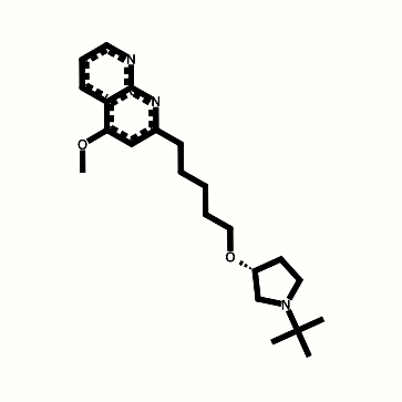 COc1cc(CCCCCO[C@@H]2CCN(C(C)(C)C)C2)nc2ncccc12